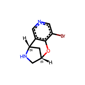 Brc1cncc2c1O[C@@H]1CN[C@H]2C1